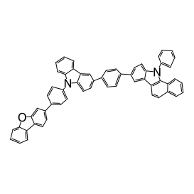 c1ccc(-n2c3ccc(-c4ccc(-c5ccc6c(c5)c5ccccc5n6-c5ccc(-c6ccc7c(c6)oc6ccccc67)cc5)cc4)cc3c3ccc4ccccc4c32)cc1